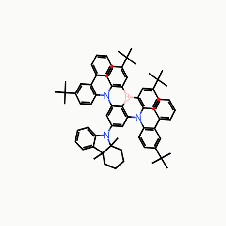 CC(C)(C)c1ccc2c(c1)B1c3cc(C(C)(C)C)ccc3N(c3ccc(C(C)(C)C)cc3-c3ccccc3)c3cc(N4c5ccccc5C5(C)CCCCC45C)cc(c31)N2c1ccc(C(C)(C)C)cc1-c1ccccc1